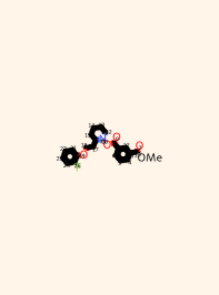 COC(=O)c1cccc(C(=O)ON2CCCCC2CCOc2ccccc2F)c1